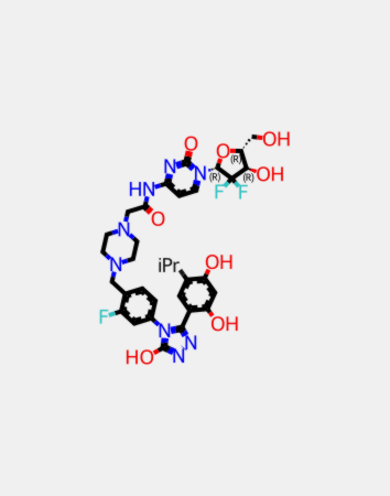 CC(C)c1cc(-c2nnc(O)n2-c2ccc(CN3CCN(CC(=O)Nc4ccn([C@@H]5O[C@H](CO)[C@@H](O)C5(F)F)c(=O)n4)CC3)c(F)c2)c(O)cc1O